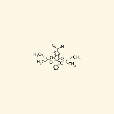 CCCCC(CC)C(=O)Oc1cc(Oc2ccccc2)c(OC(=O)C(CC)CCCC)c2c1SC(=C(C#N)C#N)S2